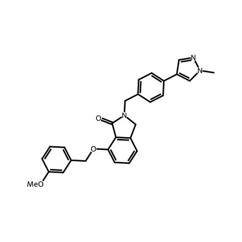 COc1cccc(COc2cccc3c2C(=O)N(Cc2ccc(-c4cnn(C)c4)cc2)C3)c1